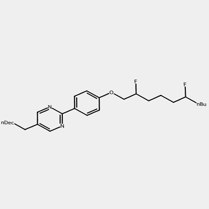 CCCCCCCCCCCc1cnc(-c2ccc(OCC(F)CCCC(F)CCCC)cc2)nc1